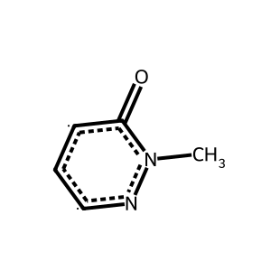 Cn1n[c]c[c]c1=O